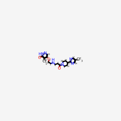 C[C@@H](CNCCC(=O)N1CCC(c2ncc(C(F)(F)F)cn2)CC1)Oc1cn[nH]c(=O)c1C(F)(F)F